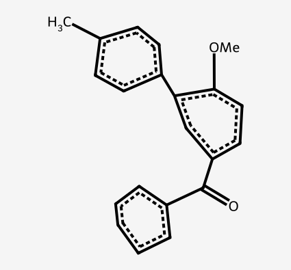 COc1ccc(C(=O)c2ccccc2)cc1-c1ccc(C)cc1